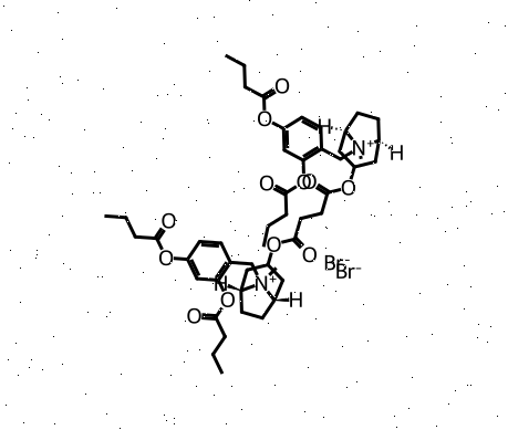 CCCC(=O)Oc1ccc(C[N+]2(C)[C@@H]3CC[C@H]2CC(OC(=O)CCC(=O)OC2C[C@H]4CC[C@@H](C2)[N+]4(C)Cc2ccc(OC(=O)CCC)cc2OC(=O)CCC)C3)c(OC(=O)CCC)c1.[Br-].[Br-]